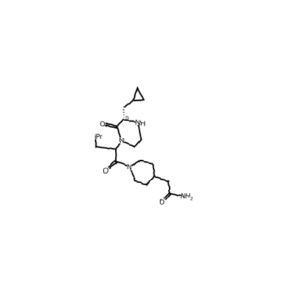 CC(C)CC(C(=O)N1CCC(CC(N)=O)CC1)N1CCN[C@@H](CC2CC2)C1=O